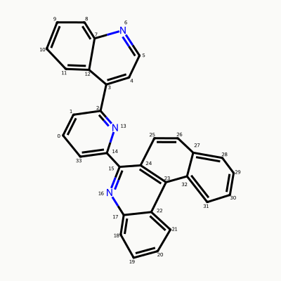 c1cc(-c2ccnc3ccccc23)nc(-c2nc3ccccc3c3c2ccc2ccccc23)c1